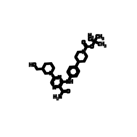 CC(C)(C)OC(=O)N1CCC(c2ccc(Nc3nc(N4CCCC(CO)C4)cnc3C(N)=O)cc2)CC1